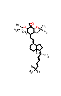 CCC(C)(/C=C/C=C/[C@@H](C)C1CCC2/C(=C/CC3C[C@@H](O[Si](C)(C)C(C)(C)C)C4(CO4)[C@H](O[Si](C)(C)C(C)(C)C)C3)CCCC21C)CC